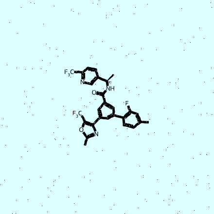 Cc1ccc(-c2cc(C(=O)N[C@H](C)c3ccc(C(F)(F)F)nc3)cc(-c3nc(C)oc3C(F)(F)F)c2)c(F)c1